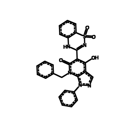 O=c1c(C2=NS(=O)(=O)c3ccccc3N2)c(O)c2cnn(-c3ccccc3)c2n1Cc1ccccc1